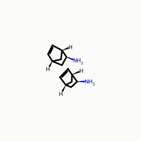 N[C@H]1C[C@@H]2C=C[C@H]1C2.N[C@H]1C[C@@H]2C=C[C@H]1C2